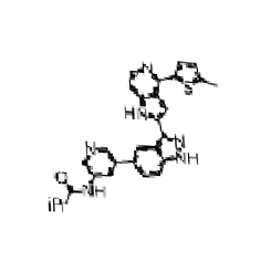 Cc1ccc(-c2nccc3[nH]c(-c4n[nH]c5ccc(-c6cncc(NC(=O)C(C)C)c6)cc45)cc23)s1